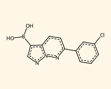 OB(O)c1cnn2nc(-c3cccc(Cl)c3)ccc12